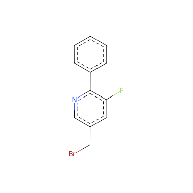 Fc1cc(CBr)cnc1-c1ccccc1